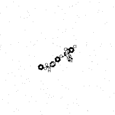 O=C(NN1CCN(c2ccc(OC[C@@H]3CO[C@@](Cn4cncn4)(c4ccc(Cl)cc4Cl)O3)cc2)CC1)Oc1ccccc1